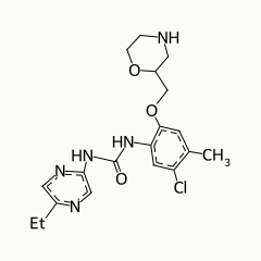 CCc1cnc(NC(=O)Nc2cc(Cl)c(C)cc2OCC2CNCCO2)cn1